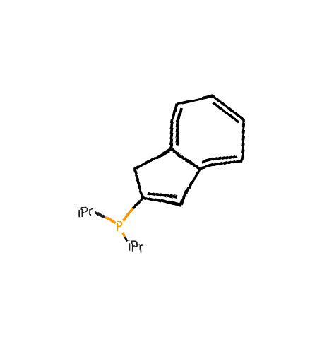 CC(C)P(C1=Cc2ccccc2C1)C(C)C